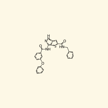 O=C(Nc1n[nH]c2cc(C(=O)NCc3ccccc3)sc12)c1cccc(Oc2ccccc2)c1